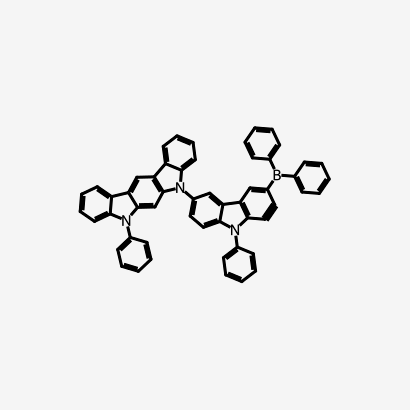 c1c(B(c2ccccc2)c2ccccc2)cc2c3cc(-n4c5ccccc5c5cc6c7ccccc7n(-c7ccccc7)c6cc54)ccc3n(-c3ccccc3)c2c#1